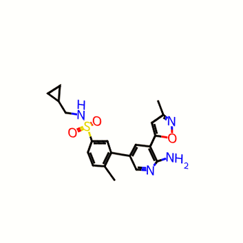 Cc1cc(-c2cc(-c3cc(S(=O)(=O)NCC4CC4)ccc3C)cnc2N)on1